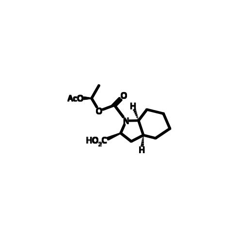 CC(=O)O[C@@H](C)OC(=O)N1[C@H](C(=O)O)C[C@@H]2CCCC[C@@H]21